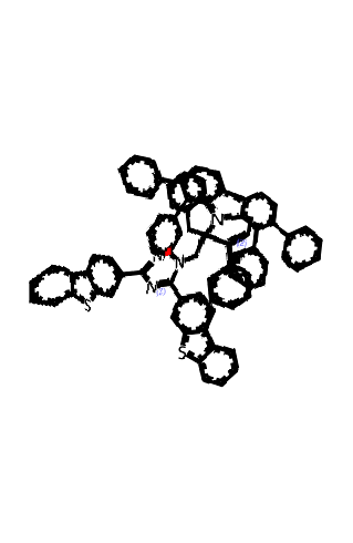 C/C=C(/c1ccccc1)C(Cc1ccccc1)(CN(C)/C(=N\C(=N)c1ccc2c(c1)sc1ccccc12)c1ccc2c(c1)sc1ccccc12)n1c2c(-c3ccccc3)c(-c3ccccc3)ccc2c2ccc(-c3ccccc3)c(-c3ccccc3)c21